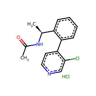 CC(=O)N[C@@H](C)c1ccccc1-c1ccncc1Cl.Cl